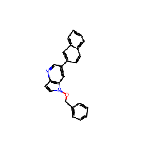 c1ccc(COn2ccc3ncc(-c4ccc5ccccc5c4)cc32)cc1